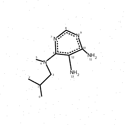 CC(C)CN(C)c1ncnc(N)c1N